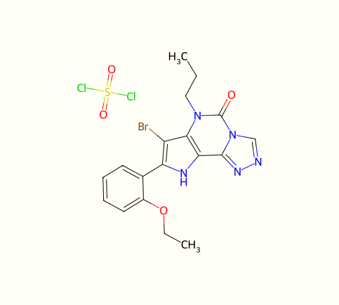 CCCn1c(=O)n2cnnc2c2[nH]c(-c3ccccc3OCC)c(Br)c21.O=S(=O)(Cl)Cl